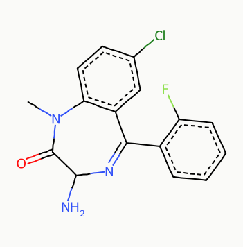 CN1C(=O)C(N)N=C(c2ccccc2F)c2cc(Cl)ccc21